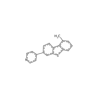 Cc1cccc2sc3cc(-c4ccncc4)ccc3c12